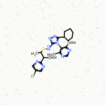 COc1ncnc(OC)c1-n1c(NSC(C)C(OC)c2ncc(Cl)cn2)nnc1C1CCCCC1